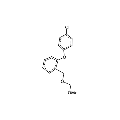 COCOCc1ccccc1Oc1ccc(Cl)cc1